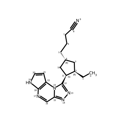 CC[C@@H]1C[C@@H](CCCC#N)C[C@@H]1c1nnc2cnc3[nH]ccc3n12